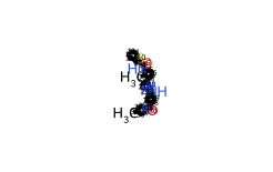 Cc1c(NC(=O)c2cc3c(s2)CCCC3)cccc1-c1ccnc(Nc2ccc(C(=O)N3CCC(C)CC3)cc2)n1